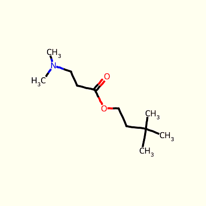 CN(C)CCC(=O)OCCC(C)(C)C